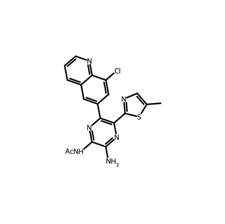 CC(=O)Nc1nc(-c2cc(Cl)c3ncccc3c2)c(-c2ncc(C)s2)nc1N